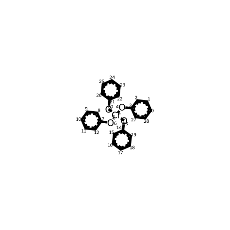 c1ccc([O][Cr]([O]c2ccccc2)([O]c2ccccc2)[O]c2ccccc2)cc1